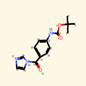 CC(C)(C)OC(=O)Nc1ccc(C(=O)n2ccnc2)cc1